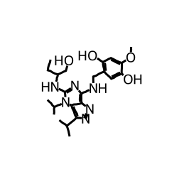 CCC(CO)Nc1nc(NCc2cc(O)c(OC)cc2O)c2nnc(C(C)C)c-2n1C(C)C